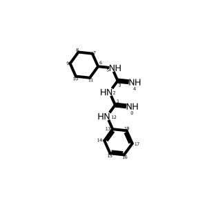 N=C(NC(=N)NC1CCCCC1)Nc1ccccc1